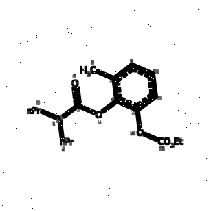 CCCN(CCC)C(=O)Oc1c(C)cccc1OC(=O)OCC